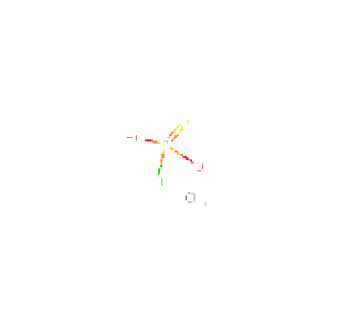 C.OP(O)(=S)Cl